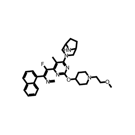 C=N/C(=C(/F)c1nc(OC2CCN(CCOC)CC2)nc(N2CC3CCC(C2)N3)c1C)c1cccc2ccccc12